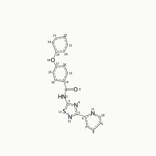 O=C(Nc1nc(-c2ccccn2)ns1)c1ccc(Oc2ccccc2)cc1